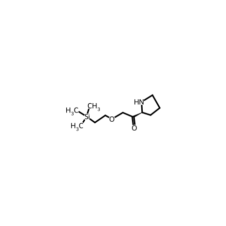 C[Si](C)(C)CCOCC(=O)[C@@H]1CCCN1